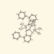 CC(C)C1=C2c3c(-c4ccccc4)cccc3[CH]1[Hf]([CH3])([CH3])[CH]1C(C(C)C)=C(c3c(-c4ccccc4)cccc31)[Si]2(C)C